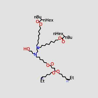 CC/C=C\CCCCOC(CCC(=O)OCCCCCCN(CCCO)CCN(CCCCCCCCCOC(=O)C(CCCC)CCCCCC)CCCCCCCCCOC(=O)C(CCCC)CCCCCC)OCCCC/C=C\CC